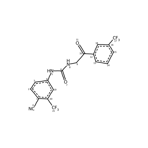 N#Cc1ccc(NC(=O)NCC(=O)c2cccc(C(F)(F)F)c2)cc1C(F)(F)F